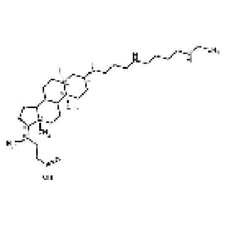 CCNCCCCNCCCN[C@H]1CC[C@]2(C)C3CC[C@@]4(C)C(CC[C@@H]4[C@H](C)CCC(=O)O)C3CC[C@H]2C1